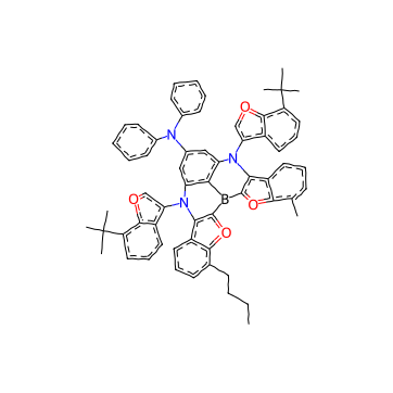 CCCCc1cccc2c3c(oc12)B1c2oc4c(C)cccc4c2N(c2coc4c(C(C)(C)C)cccc24)c2cc(N(c4ccccc4)c4ccccc4)cc(c21)N3c1coc2c(C(C)(C)C)cccc12